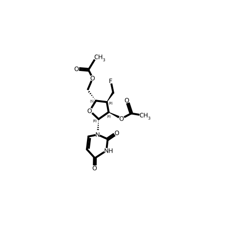 CC(=O)OC[C@H]1O[C@@H](n2ccc(=O)[nH]c2=O)[C@H](OC(C)=O)[C@@H]1CF